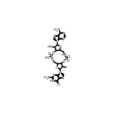 Nc1nc2c(ncn2C2OC3COP(=O)(O)OC4C(CNS(=O)(=O)OC3C2F)OC(n2cnc3c(N)ncnc32)C4O)c(=O)[nH]1